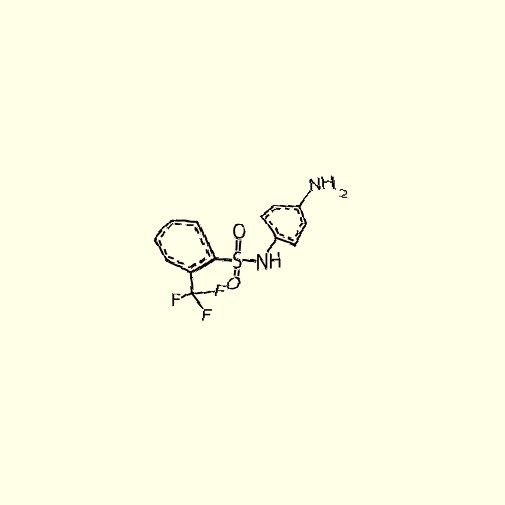 Nc1ccc(NS(=O)(=O)c2ccccc2C(F)(F)F)cc1